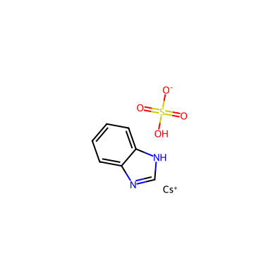 O=S(=O)([O-])O.[Cs+].c1ccc2[nH]cnc2c1